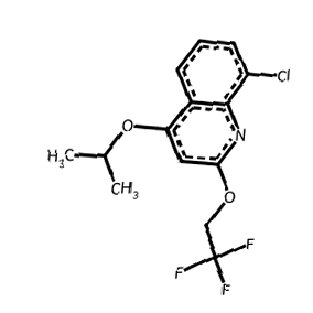 CC(C)Oc1cc(OCC(F)(F)F)nc2c(Cl)cccc12